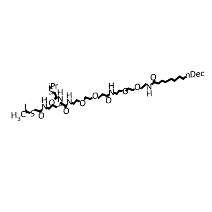 CCCCCCCCCCCCCCCCCC(=O)NCCOCCOCCNC(=O)CCOCCOCCNC(=O)[C@H](CCCNC(=O)CSC(C)I)NC(=O)CSC(C)C